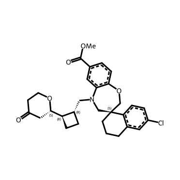 COC(=O)c1ccc2c(c1)N(C[C@@H]1CC[C@H]1[C@@H]1CC(=O)CCO1)C[C@@]1(CCCc3cc(Cl)ccc31)CO2